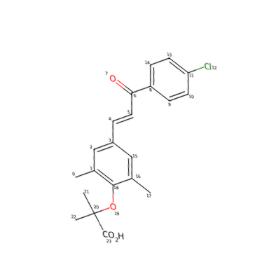 Cc1cc(/C=C/C(=O)c2ccc(Cl)cc2)cc(C)c1OC(C)(C)C(=O)O